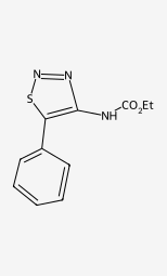 CCOC(=O)Nc1nnsc1-c1ccccc1